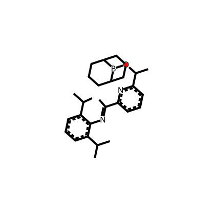 C/C(=N\c1c(C(C)C)cccc1C(C)C)c1cccc(C(C)OB2C3CCCC2CCC3)n1